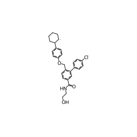 O=C(NCCO)c1ccc(COc2ccc(C3[CH]CCCC3)cc2)c(-c2ccc(Cl)cc2)c1